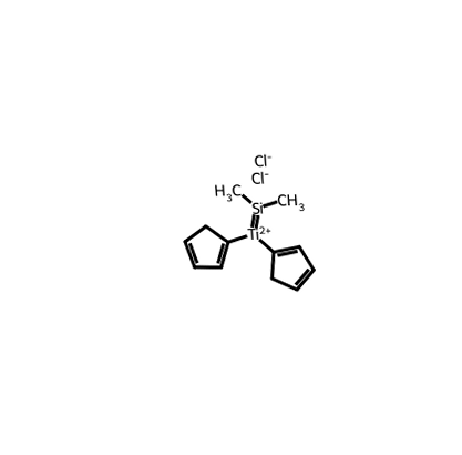 C[Si](C)=[Ti+2]([C]1=CC=CC1)[C]1=CC=CC1.[Cl-].[Cl-]